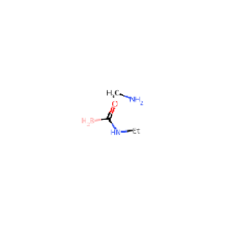 BC(=O)NCC.CN